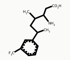 CC(CC(C)C(N)CC(=O)O)c1cccc(C(F)(F)F)c1